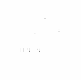 NN1CCC[C@H]1C(F)(F)F